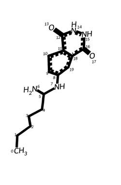 CCCCCC(N)Nc1ccc2c(=O)[nH][nH]c(=O)c2c1